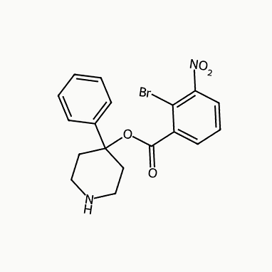 O=C(OC1(c2ccccc2)CCNCC1)c1cccc([N+](=O)[O-])c1Br